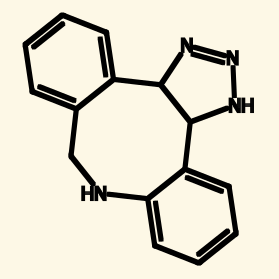 c1ccc2c(c1)CNc1ccccc1C1NN=NC21